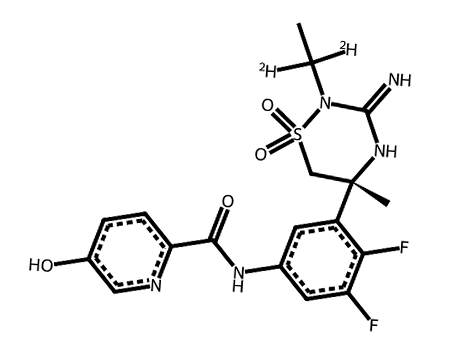 [2H]C([2H])(C)N1C(=N)N[C@](C)(c2cc(NC(=O)c3ccc(O)cn3)cc(F)c2F)CS1(=O)=O